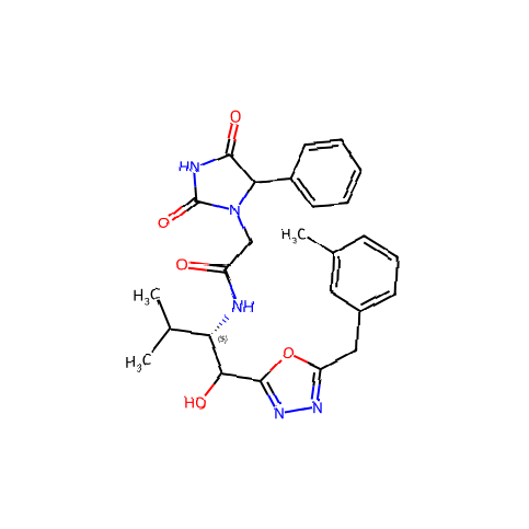 Cc1cccc(Cc2nnc(C(O)[C@@H](NC(=O)CN3C(=O)NC(=O)C3c3ccccc3)C(C)C)o2)c1